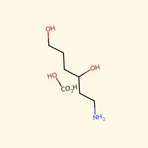 NCCC(O)CCCO.O=C(O)O